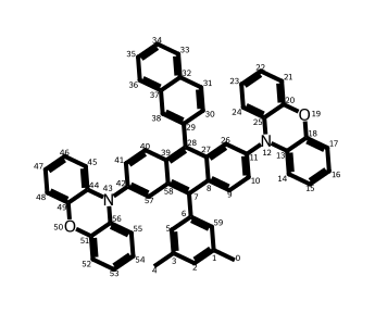 Cc1cc(C)cc(-c2c3ccc(N4c5ccccc5Oc5ccccc54)cc3c(-c3ccc4ccccc4c3)c3ccc(N4c5ccccc5Oc5ccccc54)cc23)c1